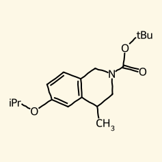 CC(C)Oc1ccc2c(c1)C(C)CN(C(=O)OC(C)(C)C)C2